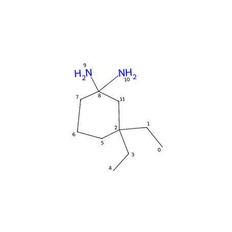 CCC1(CC)CCCC(N)(N)C1